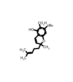 CCCCc1cc2c(c(O)c1C(=O)O)C=CC(C)(CCC=C(C)C)O2